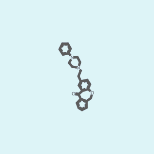 O=C1c2ccccc2COc2ccc(CCN3CCN(c4ccccc4)CC3)cc21